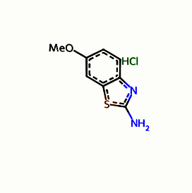 COc1ccc2nc(N)sc2c1.Cl